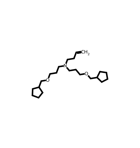 C=CCCN(CCCOCC1CCCC1)CCCOCC1CCCC1